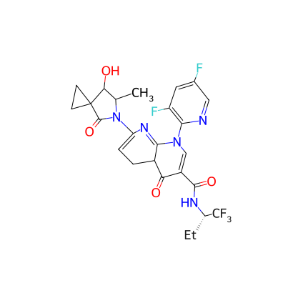 CC[C@H](NC(=O)C1=CN(c2ncc(F)cc2F)C2=NC(N3C(=O)C4(CC4)C(O)C3C)=CCC2C1=O)C(F)(F)F